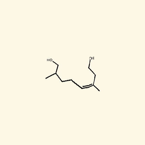 CC(=CCCC(C)CO)CCO